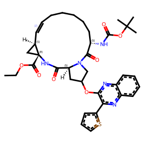 CCOC(=O)[C@@]12C[C@H]1/C=C\CCCCC[C@H](NC(=O)OC(C)(C)C)C(=O)N1CC(Oc3nc4ccccc4nc3-c3cccs3)C[C@H]1C(=O)N2